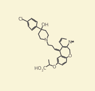 C=NC1=C(/C=C\C)/C(=C\CCN2CCC(O)(c3ccc(Cl)cc3)CC2)c2cc(OC(C)C(=O)O)ccc2OC1